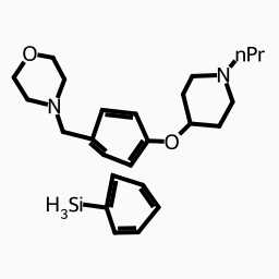 CCCN1CCC(Oc2ccc(CN3CCOCC3)cc2)CC1.[SiH3]c1ccccc1